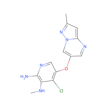 CNc1c(N)ncc(Oc2cnc3cc(C)nn3c2)c1Cl